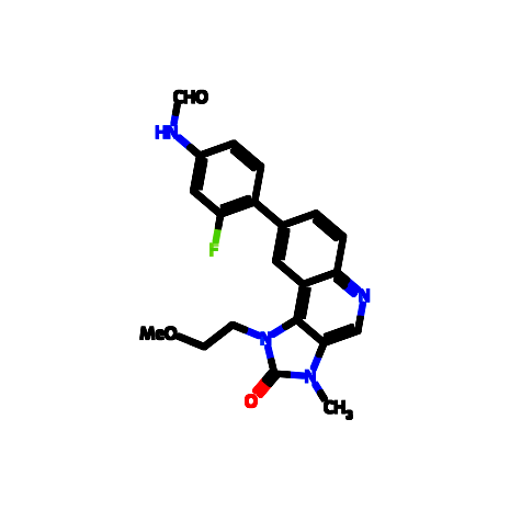 COCCn1c(=O)n(C)c2cnc3ccc(-c4ccc(NC=O)cc4F)cc3c21